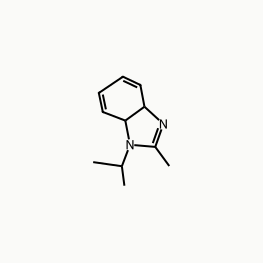 CC1=NC2C=CC=CC2N1C(C)C